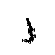 C[C@H]1CN(C2COC2)CCN1c1ccc(Nc2ncnc(-c3ccc(O[C@H]4CCN(C(=O)CCO)CC4(F)F)c(C#N)c3)n2)cc1